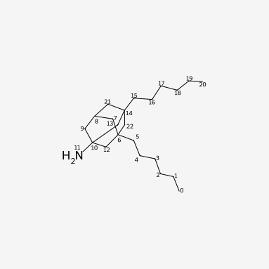 CCCCCCC12CC3CC(N)(C1)CC(CCCCCC)(C3)C2